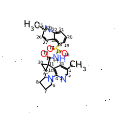 Cc1cnc(N2CCCC2)c(C2(C(=O)NS(=O)(=O)c3cccc4nc(C)ccc34)CC2)c1